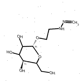 C=NNCCO[C@@H]1OC(CO)[C@@H](O)C(O)C1O